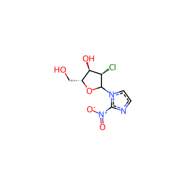 O=[N+]([O-])c1nccn1C1O[C@H](CO)[C@@H](O)[C@H]1Cl